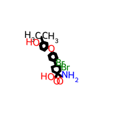 CC(C)c1cc(Oc2ccc(C3CCC(C(N)=O)(C(=O)O)CC3(Br)Br)cc2)ccc1O